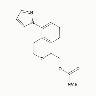 CNC(=O)OCC1OCCc2c1cccc2-n1cccn1